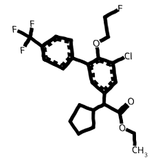 CCOC(=O)C(c1cc(Cl)c(OCCF)c(-c2ccc(C(F)(F)F)cc2)c1)C1CCCC1